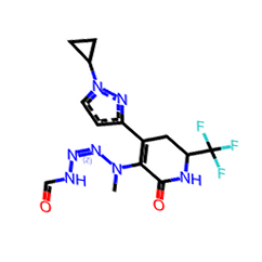 CN(/N=N\NC=O)C1=C(c2ccn(C3CC3)n2)CC(C(F)(F)F)NC1=O